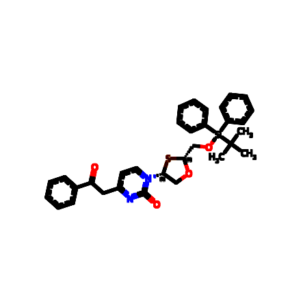 CC(C)(C)[Si](OC[C@@H]1OC[C@H](n2ccc(CC(=O)c3ccccc3)nc2=O)S1)(c1ccccc1)c1ccccc1